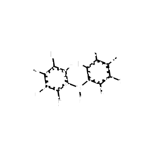 Cc1c(F)c(F)c(B(F)c2c(F)c(F)c(C)c(F)c2F)c(F)c1F